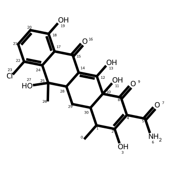 CC1C(O)=C(C(N)=O)C(=O)C2(O)C(O)=C3C(=O)c4c(O)ccc(Cl)c4C(C)(O)C3CC12